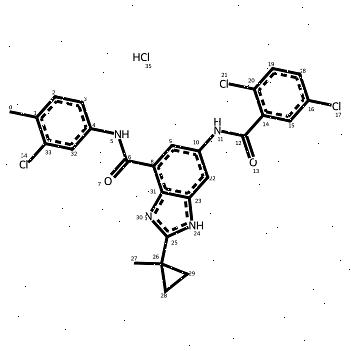 Cc1ccc(NC(=O)c2cc(NC(=O)c3cc(Cl)ccc3Cl)cc3[nH]c(C4(C)CC4)nc23)cc1Cl.Cl